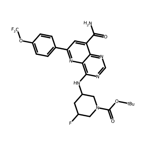 CC(C)(C)OC(=O)N1CC(F)CC(Nc2ncnc3c(C(N)=O)cc(-c4ccc(OC(F)(F)F)cc4)nc23)C1